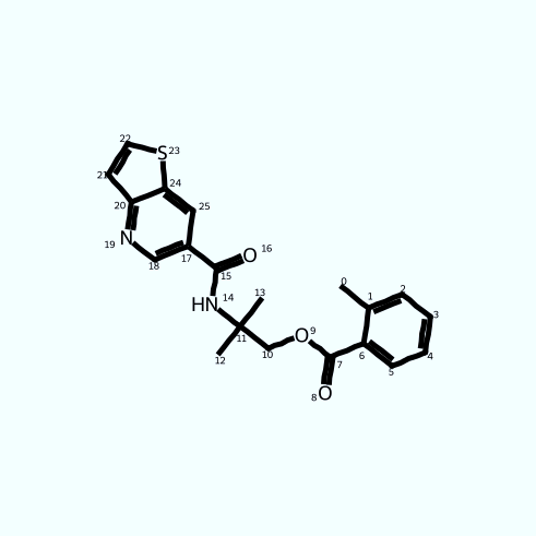 Cc1ccccc1C(=O)OCC(C)(C)NC(=O)c1cnc2ccsc2c1